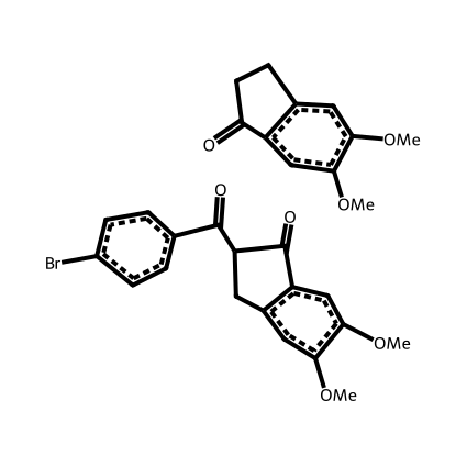 COc1cc2c(cc1OC)C(=O)C(C(=O)c1ccc(Br)cc1)C2.COc1cc2c(cc1OC)C(=O)CC2